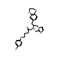 Cc1nccn1CC(Cc1ccc2c(c1)OCCO2)NC(=O)CCCOc1ccc(F)cc1